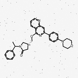 CC(c1ccccc1)N1C[C@H](COc2nc(-c3ccc(N4CCOCC4)cc3)cc3ncccc23)CC1=O